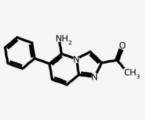 CC(=O)c1cn2c(N)c(-c3ccccc3)ccc2n1